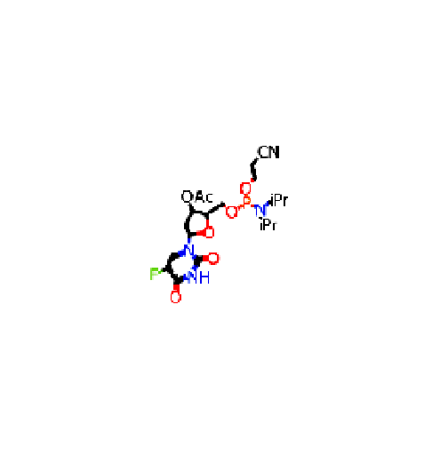 CC(=O)OC1CC(n2cc(F)c(=O)[nH]c2=O)OC1COP(OCCC#N)N(C(C)C)C(C)C